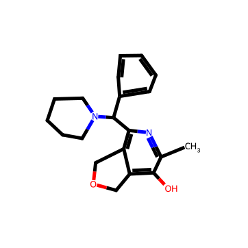 Cc1nc(C(c2ccccc2)N2CCCCC2)c2c(c1O)COC2